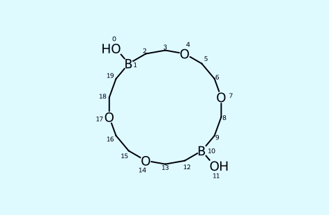 OB1CCOCCOCCB(O)CCOCCOCC1